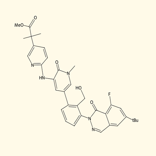 COC(=O)C(C)(C)c1ccc(Nc2cc(-c3cccc(-n4ncc5cc(C(C)(C)C)cc(F)c5c4=O)c3CO)cn(C)c2=O)nc1